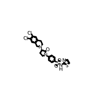 O=C1[C@@H](N2CCc3cc(Cl)c(Cl)cc3C2)CCN1c1ccc(S(=O)(=O)Nc2nccs2)cc1